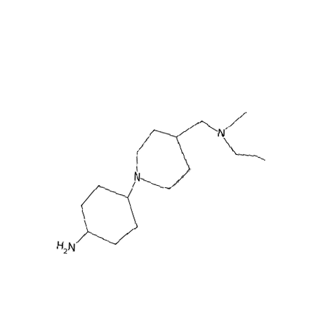 CCN(C)CC1CCN(C2CCC(N)CC2)CC1